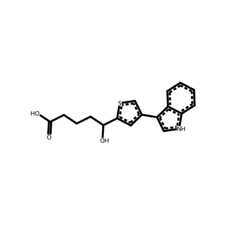 O=C(O)CCCC(O)c1cc(-c2c[nH]c3ccccc23)cs1